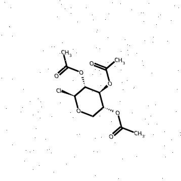 CC(=O)O[C@@H]1[C@@H](OC(C)=O)[C@H](OC(C)=O)CO[C@H]1Cl